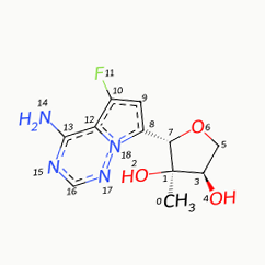 C[C@@]1(O)[C@H](O)CO[C@H]1c1cc(F)c2c(N)ncnn12